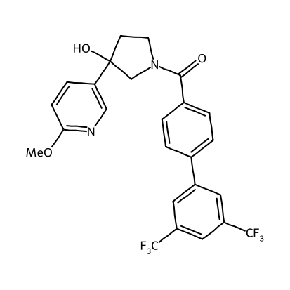 COc1ccc(C2(O)CCN(C(=O)c3ccc(-c4cc(C(F)(F)F)cc(C(F)(F)F)c4)cc3)C2)cn1